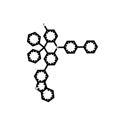 Fc1ccc2c(c1)C(c1ccccc1)(c1ccccc1)c1cc(-c3ccc4oc5ccccc5c4c3)ccc1N2c1ccc(-c2ccccc2)cc1